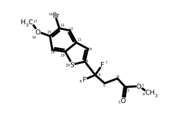 COC(=O)CCC(F)(F)c1cc2cc(Br)c(OC)cc2s1